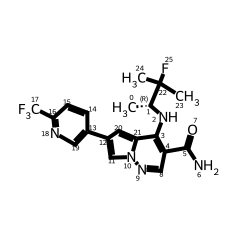 C[C@@H](Nc1c(C(N)=O)cnn2cc(-c3ccc(C(F)(F)F)nc3)cc12)C(C)(C)F